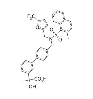 Cc1ccc2ccccc2c1S(=O)(=O)N(Cc1ccc(-c2cccc(C(C)(O)C(=O)O)c2)cc1)Cc1ccc(C(F)(F)F)o1